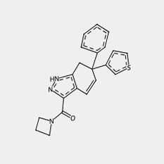 O=C(c1n[nH]c2c1C=CC(c1ccccc1)(c1ccsc1)C2)N1CCC1